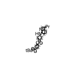 CC(C)n1cnc2c(NC3CCN(C(=O)O[C@H]4CCN(C(=O)OC(C)(C)C)C4)CC3)ccnc21